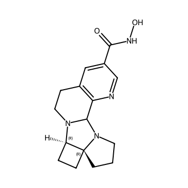 O=C(NO)c1cnc2c(c1)CCN1C2N2CCC[C@]23CC[C@@H]13